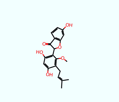 COc1c(CC=C(C)C)c(O)cc(O)c1C1Oc2cc(O)ccc2C1=O